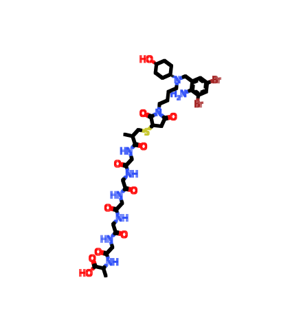 CC(CSC1CC(=O)N(CCCCN(Cc2cc(Br)cc(Br)c2N)[C@H]2CC[C@H](O)CC2)C1=O)C(=O)NCC(=O)NCC(=O)NCC(=O)NCC(=O)NCC(=O)NC(C)C(=O)O